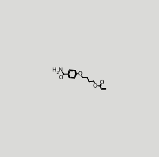 C=CC(=O)OCCCCOc1ccc(C(N)=O)cc1